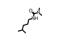 CC(C)CCCNC(=O)N(C)C